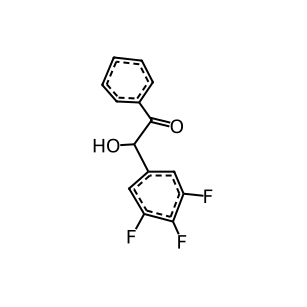 O=C(c1ccccc1)C(O)c1cc(F)c(F)c(F)c1